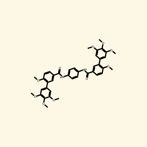 COc1ccc(C(=O)Nc2ccc(NC(=O)c3ccc(OC)c(-c4cc(OC)c(OC)c(OC)c4)c3)cc2)cc1-c1cc(OC)c(OC)c(OC)c1